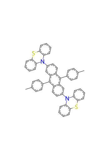 Cc1ccc(-c2c3ccc(N4c5ccccc5Sc5ccccc54)cc3c(-c3ccc(C)cc3)c3ccc(N4c5ccccc5Sc5ccccc54)cc23)cc1